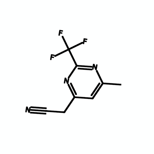 Cc1cc(CC#N)nc(C(F)(F)F)n1